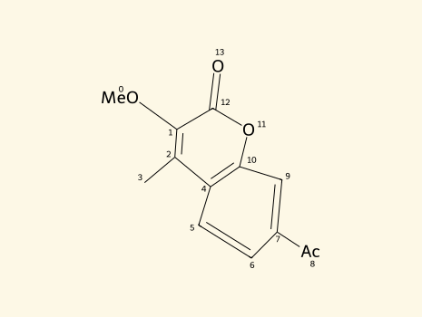 COc1c(C)c2ccc(C(C)=O)cc2oc1=O